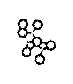 c1ccc(N(c2cccc3ccccc23)c2cc3c4ccccc4n(-c4ccccc4)c3c3c2sc2ccccc23)cc1